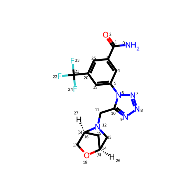 NC(=O)c1cc(-n2nnnc2CN2C[C@@H]3C[C@H]2CO3)cc(C(F)(F)F)c1